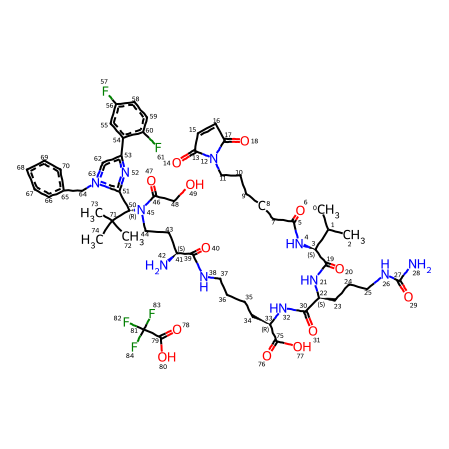 CC(C)[C@H](NC(=O)CCCCCN1C(=O)C=CC1=O)C(=O)N[C@@H](CCCNC(N)=O)C(=O)N[C@H](CCCCNC(=O)[C@@H](N)CCN(C(=O)CO)[C@@H](c1nc(-c2cc(F)ccc2F)cn1Cc1ccccc1)C(C)(C)C)C(=O)O.O=C(O)C(F)(F)F